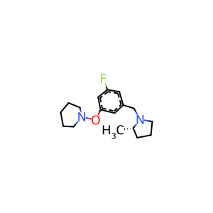 C[C@H]1CCCN1Cc1cc(F)cc(ON2CCCCC2)c1